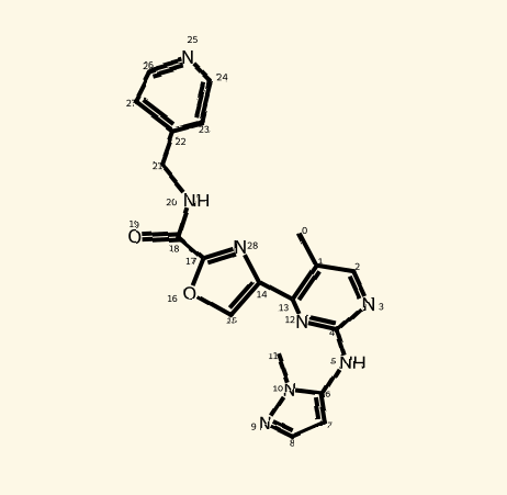 Cc1cnc(Nc2ccnn2C)nc1-c1coc(C(=O)NCc2ccncc2)n1